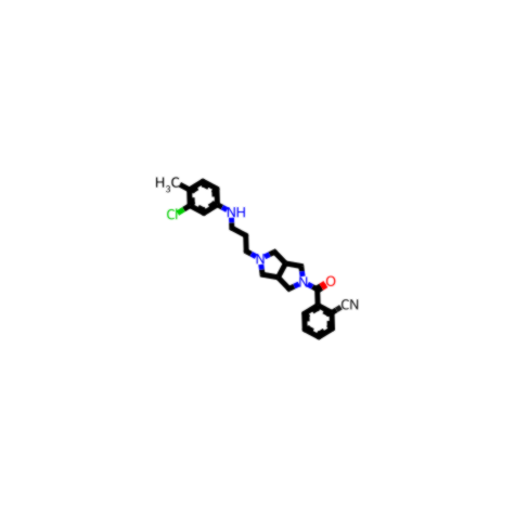 Cc1ccc(NCCCN2CC3CN(C(=O)c4ccccc4C#N)CC3C2)cc1Cl